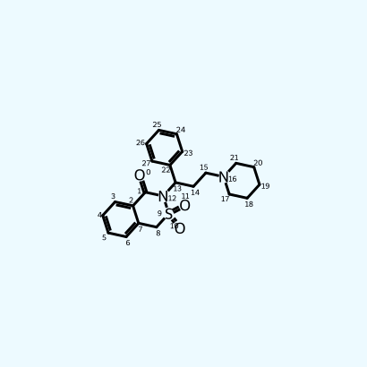 O=C1c2ccccc2CS(=O)(=O)N1C(CCN1CCCCC1)c1ccccc1